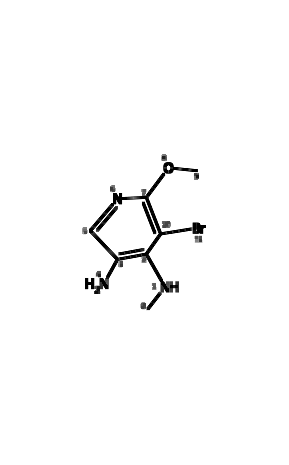 CNc1c(N)cnc(OC)c1Br